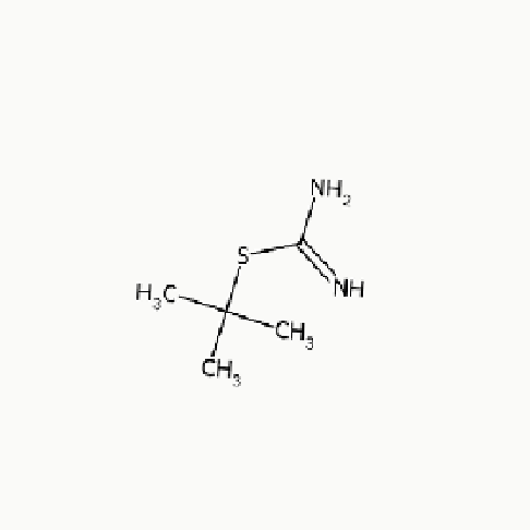 CC(C)(C)SC(=N)N